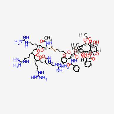 CC(=O)N[C@H](CSSCCCC(=O)O[C@@H](C(=O)O[C@H]1C[C@@]2(O)[C@@H](OC(=O)c3ccccc3)[C@@H]3[C@]4(OC(C)=O)CO[C@@H]4C[C@H](O)[C@@]3(C)C(=O)[C@H](OC(C)=O)C(=C1C)C2(C)C)[C@@H](NC(=O)c1ccccc1)c1ccccc1)C(=O)C[C@H](CCCNC(=N)N)C(=O)C[C@H](CCCNC(=N)N)C(=O)C[C@H](CCCNC(=N)N)C(=O)C[C@H](CCCNC(=N)N)C(N)=O